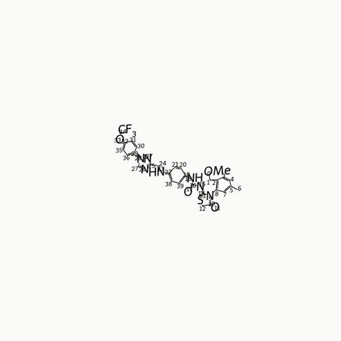 COCc1ccc(C)cc1N1C(=O)CSC1=NC(=O)Nc1ccc(NCc2ncn(-c3ccc(OC(F)(F)F)cc3)n2)cc1